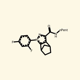 CCCCCNC(=O)c1nn(-c2ccc(F)cc2F)c2c1C1CCC2C1